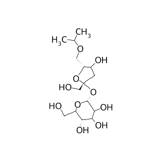 CC(C)OC[C@H]1O[C@@](CO)(O[C@H]2OC(CO)[C@@H](O)C(O)C2O)CC1O